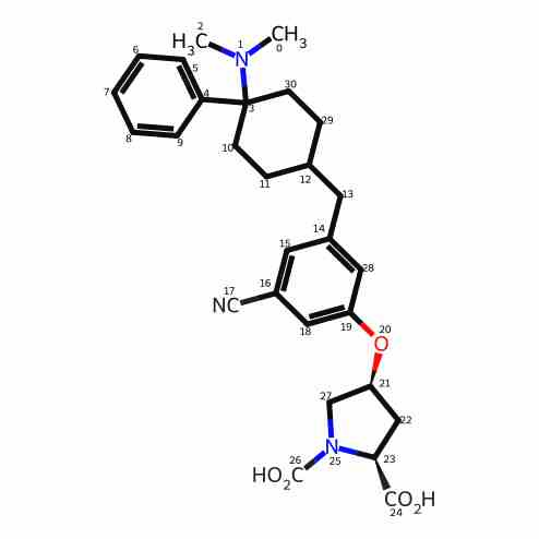 CN(C)C1(c2ccccc2)CCC(Cc2cc(C#N)cc(O[C@H]3C[C@@H](C(=O)O)N(C(=O)O)C3)c2)CC1